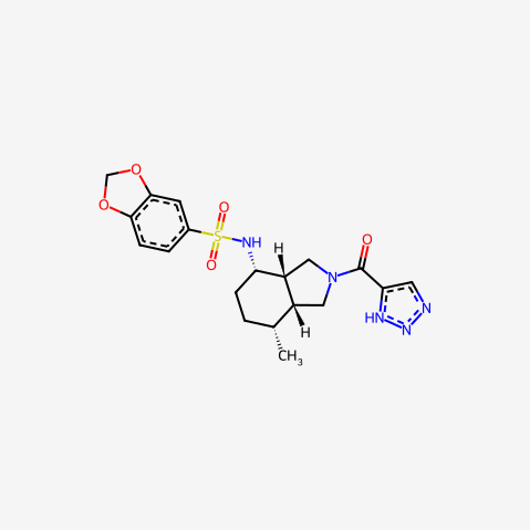 C[C@@H]1CC[C@H](NS(=O)(=O)c2ccc3c(c2)OCO3)[C@@H]2CN(C(=O)c3cnn[nH]3)C[C@@H]21